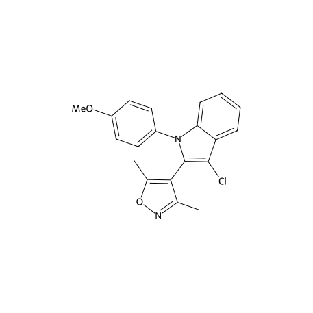 COc1ccc(-n2c(-c3c(C)noc3C)c(Cl)c3ccccc32)cc1